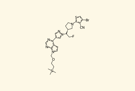 C[Si](C)(C)CCOCn1ccc2c(-c3cnn(C(CF)[C@H]4CCN(c5scc(Br)c5C#N)C4)c3)ncnc21